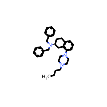 CCCCN1CCN(c2cccc3c2C[C@H](N(Cc2ccccc2)Cc2ccccc2)CC3)CC1